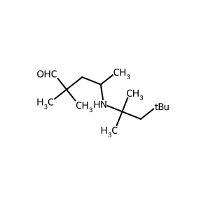 CC(CC(C)(C)C=O)NC(C)(C)CC(C)(C)C